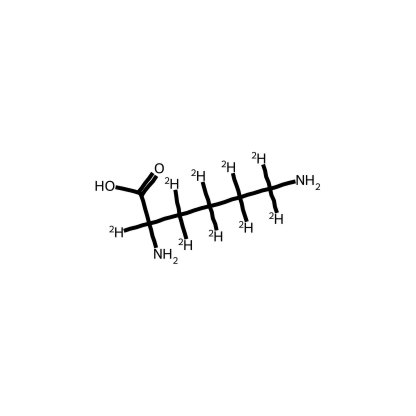 [2H]C([2H])(N)C([2H])([2H])C([2H])([2H])C([2H])([2H])C([2H])(N)C(=O)O